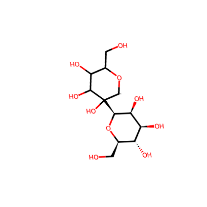 OCC1O[CH]C(O)([C@@H]2O[C@H](CO)[C@@H](O)[C@H](O)[C@@H]2O)C(O)C1O